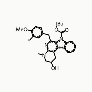 COc1ccc(Cc2nc3c(c4c5ccccc5n(C(=O)OC(C)(C)C)c24)CC(O)CN3C)cc1F